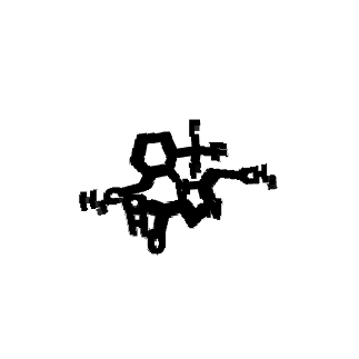 CCc1cccc(C(F)(F)F)c1-n1c(C(=O)O)cnc1CC